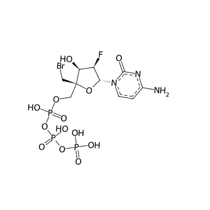 Nc1ccn([C@@H]2O[C@](CBr)(COP(=O)(O)OP(=O)(O)OP(=O)(O)O)[C@@H](O)[C@H]2F)c(=O)n1